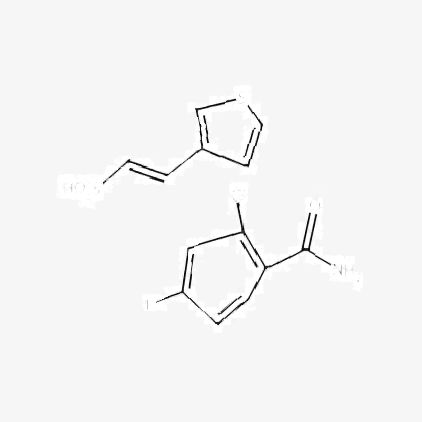 NC(=O)c1ccc(F)cc1Cl.O=S(=O)(O)C=Cc1ccsc1